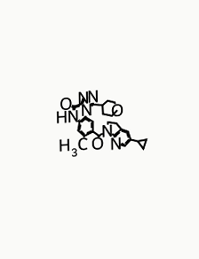 Cc1cc2[nH]c(=O)c3nnc(C4CCOCC4)n3c2cc1C(=O)N1CCc2cc(C3CC3)cnc21